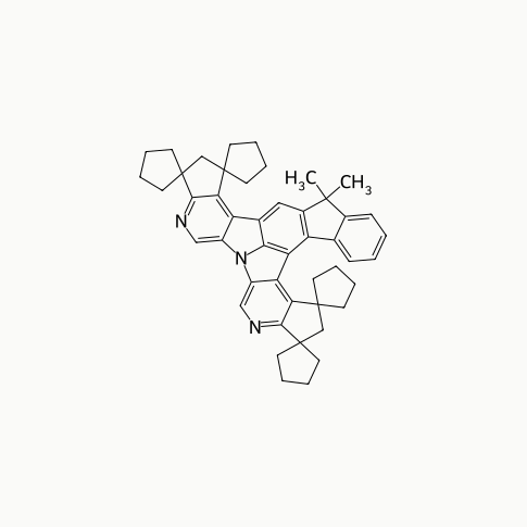 CC1(C)c2ccccc2-c2c1cc1c3c4c(ncc3n3c5cnc6c(c5c2c13)C1(CCCC1)CC61CCCC1)C1(CCCC1)CC41CCCC1